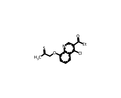 CCC(=O)c1cnc2c(OCC(C)=S)cccc2c1Cl